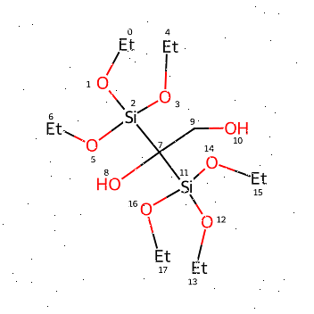 CCO[Si](OCC)(OCC)C(O)(CO)[Si](OCC)(OCC)OCC